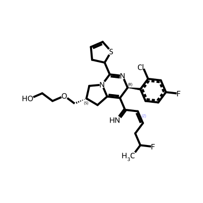 CC(F)C/C=C\C(=N)C1=C2C[C@H](COCCO)CN2C(C2CC=CS2)=N[C@H]1c1ccc(F)cc1Cl